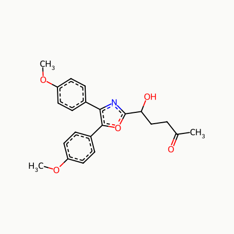 COc1ccc(-c2nc(C(O)CCC(C)=O)oc2-c2ccc(OC)cc2)cc1